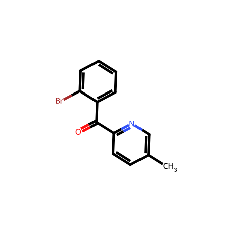 Cc1ccc(C(=O)c2ccccc2Br)nc1